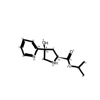 CC(C)OC(=O)[C@@H]1C[C@@](O)(c2ccccn2)CN1